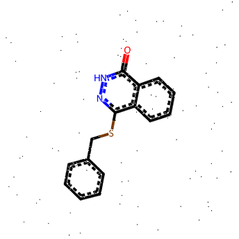 O=c1[nH]nc(SCc2ccccc2)c2ccccc12